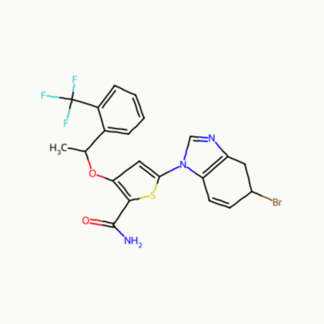 CC(Oc1cc(-n2cnc3c2C=CC(Br)C3)sc1C(N)=O)c1ccccc1C(F)(F)F